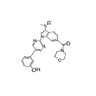 C[S+]([O-])c1cn(-c2ncc(-c3cccc(O)c3)cn2)c2cc(C(=O)N3CCOCC3)ccc12